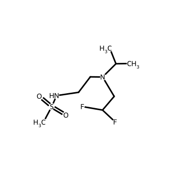 CC(C)N(CCNS(C)(=O)=O)CC(F)F